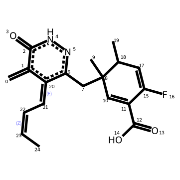 C=c1c(=O)[nH]nc(CC2(C)C=C(C(=O)O)C(F)=CC2C)/c1=C/C=C\C